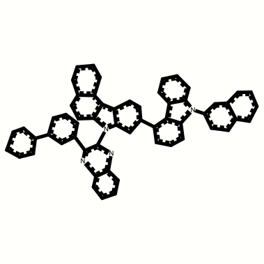 c1ccc(-c2cccc(-c3nc4ccccc4nc3-n3c4cc(-c5cccc6c5c5ccccc5n6-c5ccc6ccccc6c5)ccc4c4c5ccccc5ccc43)c2)cc1